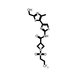 Cc1nc(CO)sc1-c1csc(NC(=O)C2CN(S(=O)(=O)CCC(F)(F)F)C2)n1